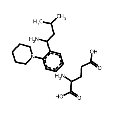 CC(C)CC(N)c1ccccc1N1CCCCC1.NC(CCC(=O)O)C(=O)O